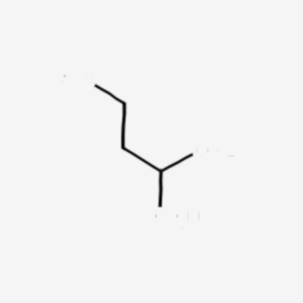 CCOC(=O)C(CCOC(C)=O)C(=O)OCC